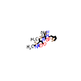 Cc1nnc(C2=C(C(=O)[O-])N3C(=O)C(C=S)(NC(=O)Cc4cccs4)[C@@H]3S[C@H]2C)s1.[Na+]